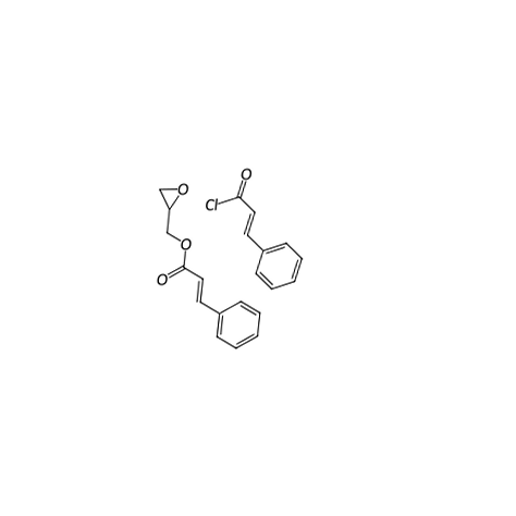 O=C(C=Cc1ccccc1)OCC1CO1.O=C(Cl)C=Cc1ccccc1